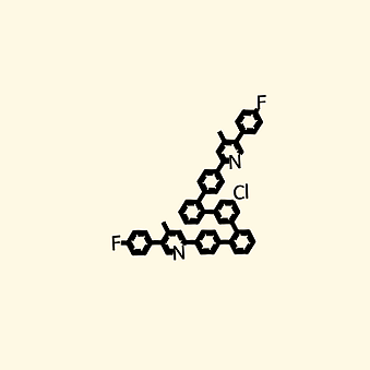 Cc1cc(-c2ccc(-c3ccccc3-c3cc(Cl)cc(-c4ccccc4-c4ccc(-c5cc(C)c(-c6ccc(F)cc6)cn5)cc4)c3)cc2)ncc1-c1ccc(F)cc1